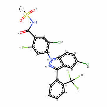 CS(=O)(=O)NC(=O)c1cc(Cl)c(-n2nc(-c3ccccc3C(F)(F)F)c3cc(Cl)ccc32)cc1F